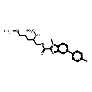 Cn1c(C(=O)NCC(CCCNC(=O)O)NC(=O)O)nc2cc(-c3ccc(F)cc3)ccc21